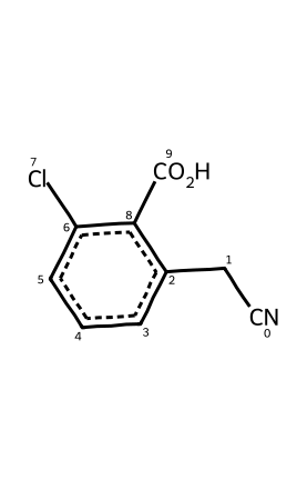 N#CCc1cccc(Cl)c1C(=O)O